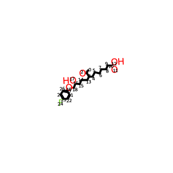 CC(=O)C(CCCCCCC(=O)O)CCCC(O)COc1ccc(F)cc1